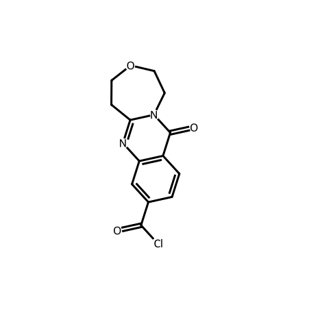 O=C(Cl)c1ccc2c(=O)n3c(nc2c1)CCOCC3